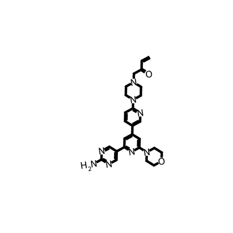 C=CC(=O)CN1CCN(c2ccc(-c3cc(-c4cnc(N)nc4)nc(N4CCOCC4)c3)cn2)CC1